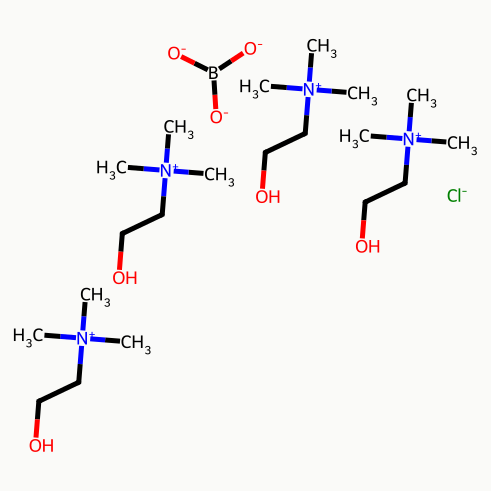 C[N+](C)(C)CCO.C[N+](C)(C)CCO.C[N+](C)(C)CCO.C[N+](C)(C)CCO.[Cl-].[O-]B([O-])[O-]